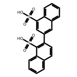 O=S(=O)(O)c1cc(-c2ccc3ccccc3c2S(=O)(=O)O)[c]c2ccccc12